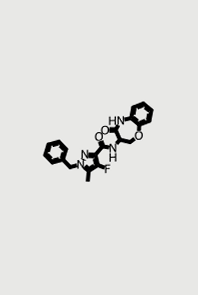 Cc1c(F)c(C(=O)NC2COc3ccccc3NC2=O)nn1Cc1ccccc1